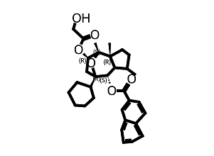 CC1CC[C@]2(C)C1[C@H](OC(=O)c1ccc3ccccc3c1)[C@]1(C3CCCCC3)C[C@@H](OC(=O)CO)[C@@]2(C)O1